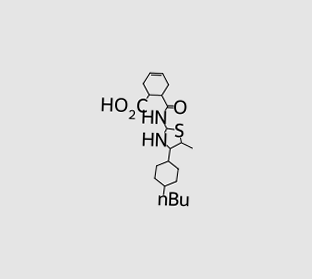 CCCCC1CCC(C2NC(NC(=O)C3CC=CCC3C(=O)O)SC2C)CC1